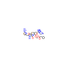 CC(OC(=O)CC1CCCC1)OC(=O)C1=C(CSc2nnnn2CCN(C)C)CS[C@@H]2[C@H](NC(=O)Cc3csc(N)n3)C(=O)N12